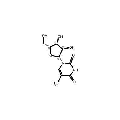 Bc1cn([C@@H]2O[C@H](CO)[C@@H](O)[C@H]2O)c(=O)[nH]c1=O